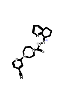 N#Cc1ccnc(N2CCCN(C(=S)N/N=C3/CCCc4cccnc43)CC2)c1